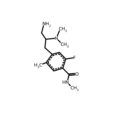 CNC(=O)c1cc(C)c(CC(CN)N(C)C)cc1F